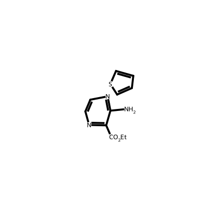 CCOC(=O)c1nccnc1N.c1ccsc1